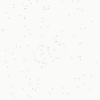 C1=CC2=C(C=NCN2)C[N]1